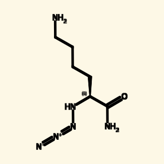 [N-]=[N+]=NN[C@@H](CCCCN)C(N)=O